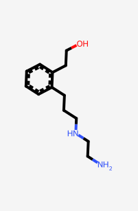 NCCNCCCc1ccccc1CCO